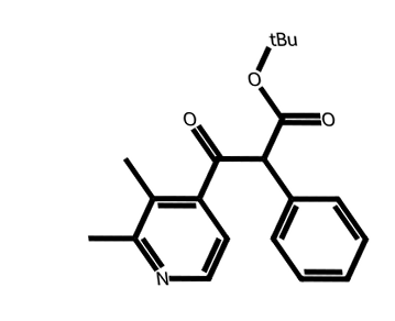 Cc1nccc(C(=O)C(C(=O)OC(C)(C)C)c2ccccc2)c1C